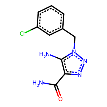 NC(=O)c1nnn(Cc2cccc(Cl)c2)c1N